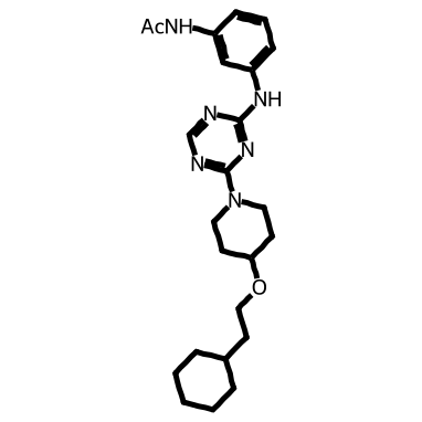 CC(=O)Nc1cccc(Nc2ncnc(N3CCC(OCCC4CCCCC4)CC3)n2)c1